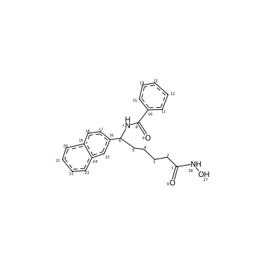 O=C(CCCCC(NC(=O)c1ccccc1)c1ccc2ccccc2c1)NO